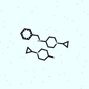 O=C1CCN(C2CC2)CC1.c1ccc(CNC2CCN(C3CC3)CC2)cc1